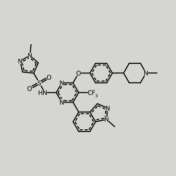 CN1CCC(c2ccc(Oc3nc(NS(=O)(=O)c4cnn(C)c4)nc(-c4cccc5c4cnn5C)c3C(F)(F)F)cc2)CC1